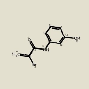 C=C(Br)C(=O)Nc1cccc(O)c1